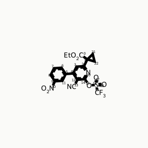 CCOC(=O)C1(c2cc(-c3cccc([N+](=O)[O-])c3)c(C#N)c(OS(=O)(=O)C(F)(F)F)n2)CC1